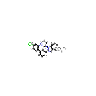 CCOC(=O)c1cnn(C2CCCN(c3cc(Cl)ccc3-c3ccccc3)C2)c1C(F)(F)F